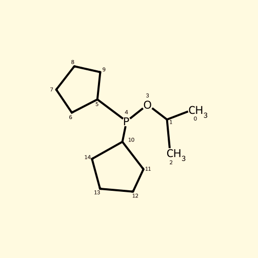 CC(C)OP(C1CCCC1)C1CCCC1